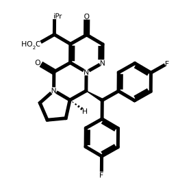 CC(C)C(C(=O)O)c1c2n(ncc1=O)[C@@H](C(c1ccc(F)cc1)c1ccc(F)cc1)[C@H]1CCCN1C2=O